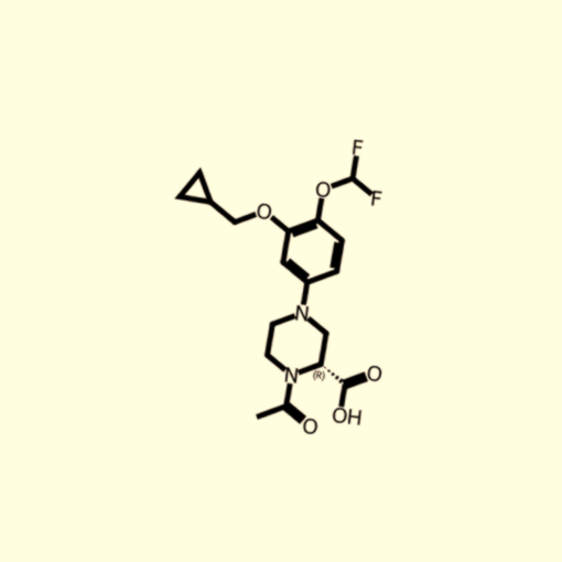 CC(=O)N1CCN(c2ccc(OC(F)F)c(OCC3CC3)c2)C[C@@H]1C(=O)O